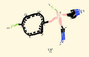 N#C[B-](F)(C#N)c1ccc(F)cc1.[Li+]